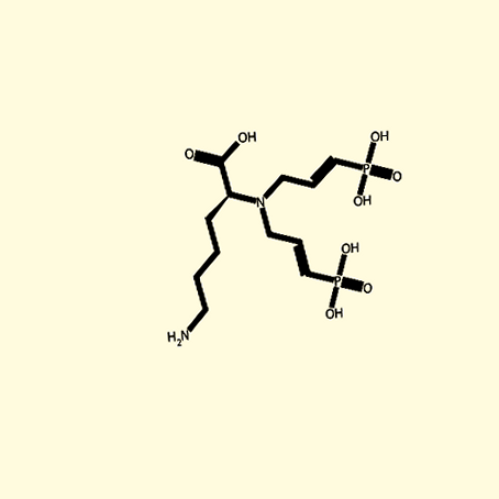 NCCCC[C@@H](C(=O)O)N(CC=CP(=O)(O)O)CC=CP(=O)(O)O